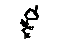 [C-]#[N+][CH]S(=O)(=O)c1ccc(C)cc1